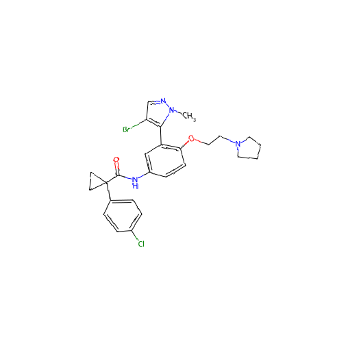 Cn1ncc(Br)c1-c1cc(NC(=O)C2(c3ccc(Cl)cc3)CC2)ccc1OCCN1CCCC1